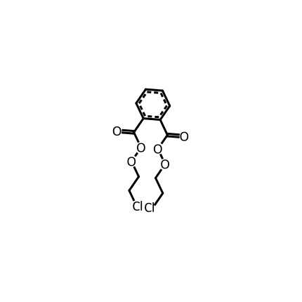 O=C(OOCCCl)c1ccccc1C(=O)OOCCCl